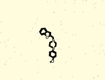 COc1ccc(N2CCN(Cc3cc4ccccc4o3)CC2)cc1